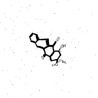 CC(=O)[C@]1(O)CC2=C(C(=O)c3cc4ccccc4cc3C2=O)[C@@H](O)C1